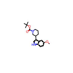 COc1ccc2[nH]cc(C3CCCN(C(=O)OC(C)(C)C)C3)c2c1